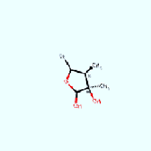 CCC1OC(O)[C@](C)(O)[C@@H]1C